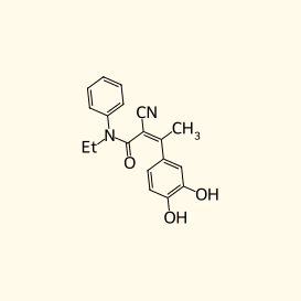 CCN(C(=O)C(C#N)=C(C)c1ccc(O)c(O)c1)c1ccccc1